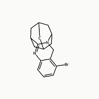 Brc1cccc2c1CN1C(=N2)C2CC3CC(C2)CC1C3